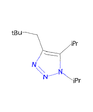 CC(C)c1c(CC(C)(C)C)nnn1C(C)C